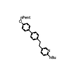 CCCCCOc1ccc(-c2ccc(CCc3ccc(CCCC)nc3)cc2)cc1